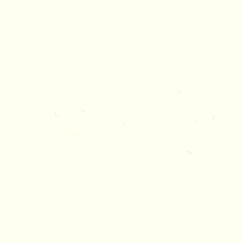 c1ccc(-c2nc(-c3ccccc3)nc(-c3cc(-c4cccc5sc6c(ccc7c6c6ccccc6n7-c6ccccc6)c45)cnc3-c3cccc4sc5c(ccc6c5c5ccccc5n6-c5ccccc5)c34)n2)cc1